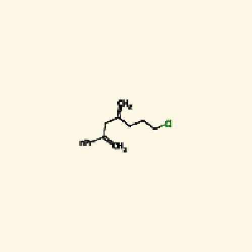 C=C(CCC)CC(=C)CCCCl